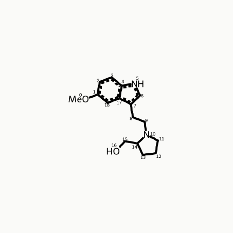 COc1ccc2[nH]cc(CCN3CCCC3CO)c2c1